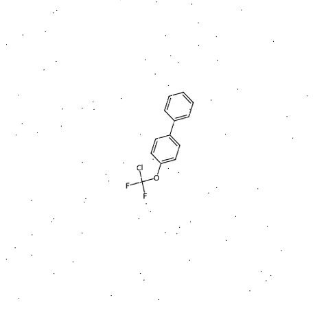 FC(F)(Cl)Oc1ccc(-c2ccccc2)cc1